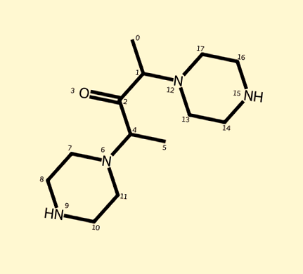 CC(C(=O)C(C)N1CCNCC1)N1CCNCC1